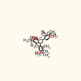 CC1=CC(O)(C(C)(C)C)C=CC1C(C)CC(C1C=CC(O)(C(C)(C)C)C=C1C)C1C=CC(O)(C(C)(C)C)C=C1C